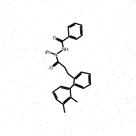 Cc1cccc(-c2ccccc2CCC(=O)N(NC(=O)c2ccccc2)C(C)C)c1C